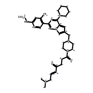 CCOC(=O)Nc1cc(C(F)(F)F)c(-c2nc(N3CCCCC3)c3cc(CN4CCN(C(=O)CCC(=O)/C=C/CN(C)C)CC4)cn3n2)cn1